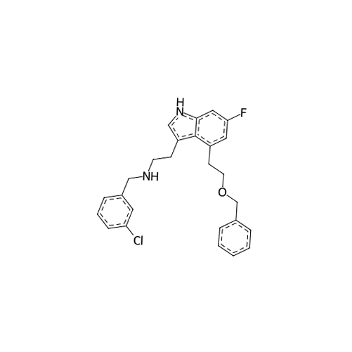 Fc1cc(CCOCc2ccccc2)c2c(CCNCc3cccc(Cl)c3)c[nH]c2c1